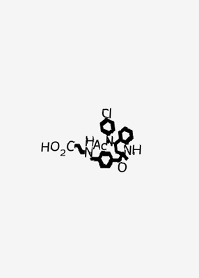 CC(=O)N(c1ccc(Cl)cc1)[C@@H]1CC(C)(C(=O)c2ccc(CNCCC(=O)O)cc2)Nc2ccccc21